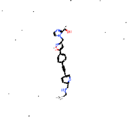 C[C@H](O)c1nccn1Cc1cc(-c2ccc(C#Cc3ccc(CNCC(=O)O)nc3)cc2)on1